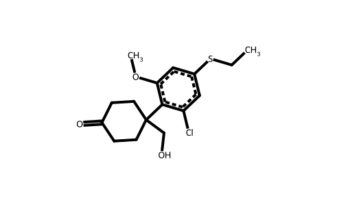 CCSc1cc(Cl)c(C2(CO)CCC(=O)CC2)c(OC)c1